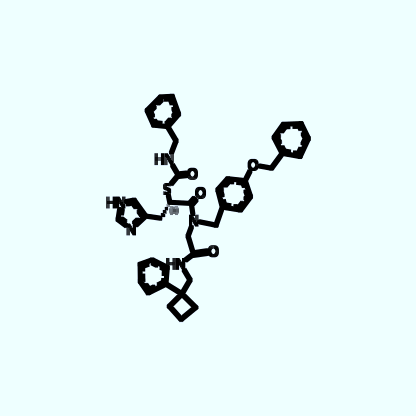 O=C(CN(Cc1ccc(OCc2ccccc2)cc1)C(=O)[C@H](Cc1c[nH]cn1)SC(=O)NCc1ccccc1)NCC1(c2ccccc2)CCC1